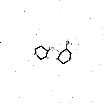 C[C@H]1CCCC[C@@H]1NC1CCNCC1